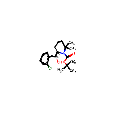 CC(C)(C)OC(=O)N1[C@@H]([C@H](O)c2ccccc2Cl)CCCC1(C)C